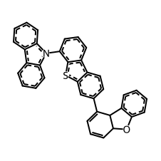 C1=CC2Oc3ccccc3C2C(c2ccc3c(c2)sc2c(-n4c5ccccc5c5ccccc54)cccc23)=C1